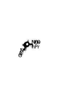 CCCC(N=C=O)C1CC2CC(CN=C=O)C1C2